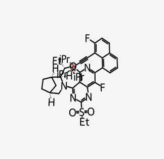 CC[C@@H]1Oc2nc(-c3cccc4ccc(F)c(C#C[Si](C(C)C)(C(C)C)C(C)C)c34)c(F)c3nc(S(=O)(=O)CC)nc(c23)N2C[C@H]3CC[C@H](C3)[C@@H]12